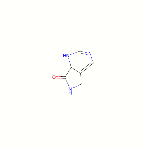 O=C1NCC2=CN=CNC12